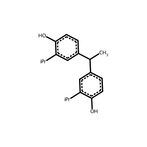 CC(C)c1cc(C(C)c2ccc(O)c(C(C)C)c2)ccc1O